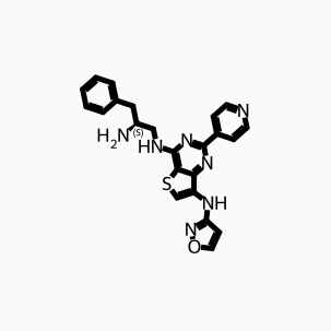 N[C@H](CNc1nc(-c2ccncc2)nc2c(Nc3ccon3)csc12)Cc1ccccc1